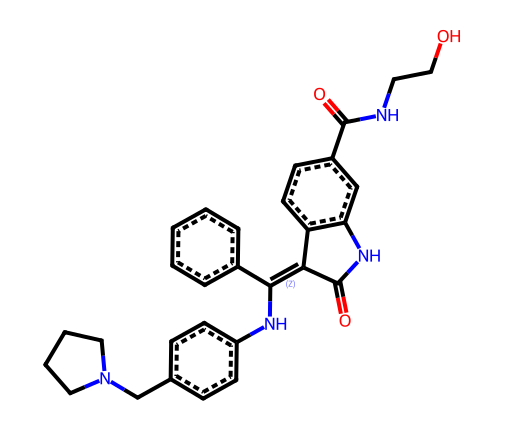 O=C1Nc2cc(C(=O)NCCO)ccc2/C1=C(/Nc1ccc(CN2CCCC2)cc1)c1ccccc1